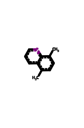 Cc1ccc(C)c2pcccc12